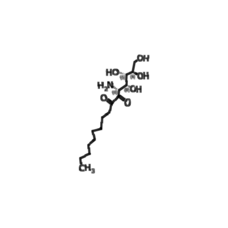 CCCCCCCCCC(=O)C(=O)[C@H](N)[C@@H](O)[C@H](O)[C@H](O)CO